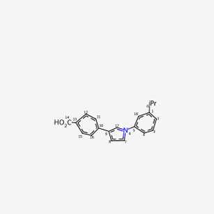 CC(C)c1cccc(-n2ccc(-c3ccc(C(=O)O)cc3)c2)c1